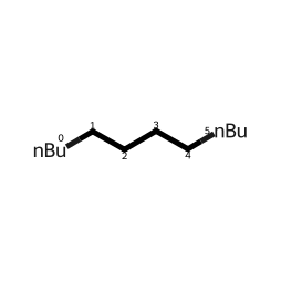 [CH2]C[CH]CCCCCCCC[CH2]